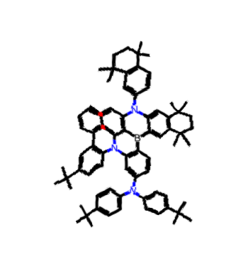 Cc1cc2c3c(c1)N(c1ccc(C(C)(C)C)cc1-c1ccccc1)c1cc(N(c4ccc(C(C)(C)C)cc4)c4ccc(C(C)(C)C)cc4)ccc1B3c1cc3c(cc1N2c1ccc2c(c1)C(C)(C)CCC2(C)C)C(C)(C)CCC3(C)C